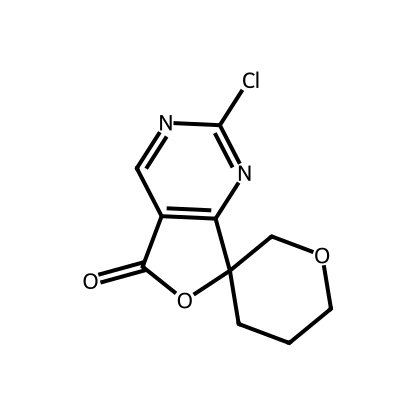 O=C1OC2(CCCOC2)c2nc(Cl)ncc21